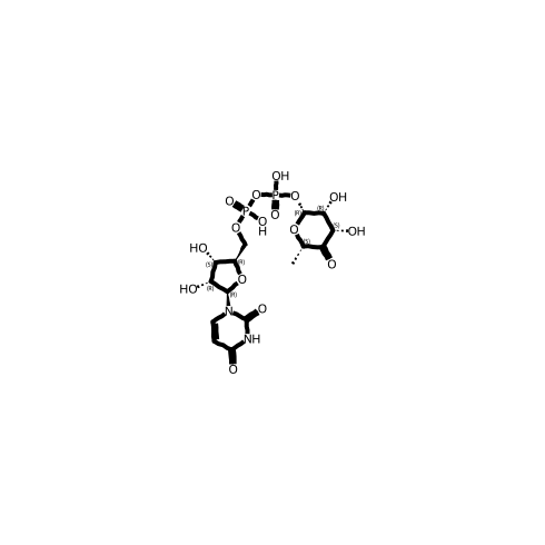 C[C@@H]1O[C@H](OP(=O)(O)OP(=O)(O)OC[C@H]2O[C@@H](n3ccc(=O)[nH]c3=O)[C@H](O)[C@@H]2O)[C@H](O)[C@H](O)C1=O